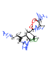 CC(NC(=O)c1ccc2[nH]cc(CCN)c2c1)C(N)=O.Cl